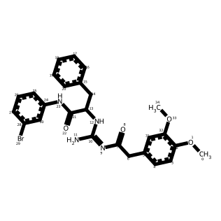 COc1ccc(CC(=O)N=C(N)NC(Cc2ccccc2)C(=O)Nc2cccc(Br)c2)cc1OC